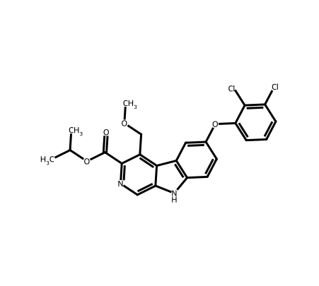 COCc1c(C(=O)OC(C)C)ncc2[nH]c3ccc(Oc4cccc(Cl)c4Cl)cc3c12